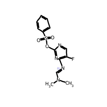 CN(C)/C=N/c1nc(OS(=O)(=O)c2ccccc2)ncc1F